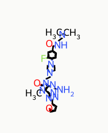 CN(C)CCNC(=O)c1ccc(N2CCN(CCn3c(=O)n(C)c4c3nc(N)n3nc(-c5ccco5)nc43)CC2)c(F)c1